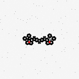 CC1(C)c2cc3c(cc2-c2cc4c(cc21)-c1c(cc([Si](c2ccccc2)(c2ccccc2)c2ccccc2)c2ccccc12)C4(C)C)C(C)(C)c1cc(C(c2ccccc2)(c2ccccc2)c2ccccc2)c2ccccc2c1-3